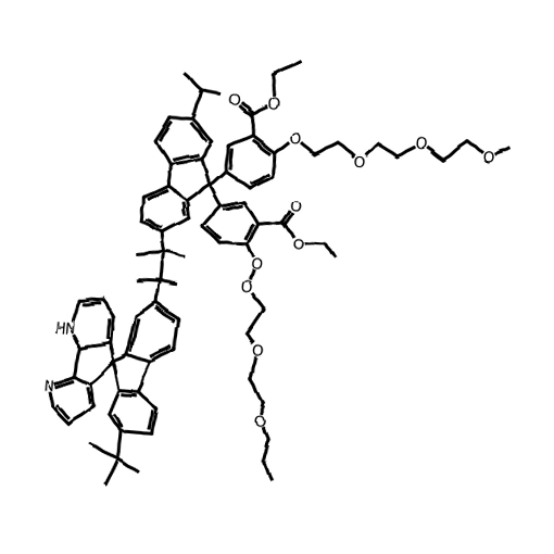 CCCOCCOCCOOc1ccc(C2(c3ccc(OCCOCCOCCOC)c(C(=O)OCC)c3)c3cc(C(C)C)ccc3-c3ccc(C(C)(C)C(C)(C)c4ccc5c(c4)C4(C6=CC=CNC6c6ncccc64)c4cc(C(C)(C)C)ccc4-5)cc32)cc1C(=O)OCC